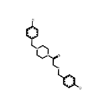 O=C(COCc1ccc(Cl)cc1)N1CCN(Cc2ccc(Cl)cc2)CC1